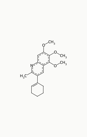 COc1cc2nc(C)c(C3=CCCCC3)cc2c(OC)c1OC